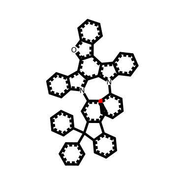 c1ccc(-n2c3ccccc3c3c4c5ccccc5oc4c4c5ccccc5n(-c5ccc6c(c5)C(c5ccccc5)(c5ccccc5)c5ccccc5-6)c4c32)cc1